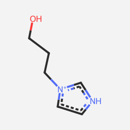 OCCC[n+]1cc[nH]c1